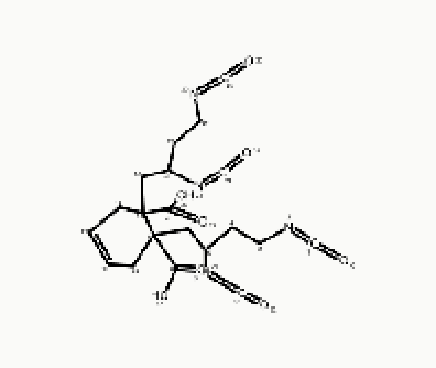 O=C=NCCC(CC1(C(=O)O)CC=CCC1(CC(CCN=C=O)N=C=O)C(=O)O)N=C=O